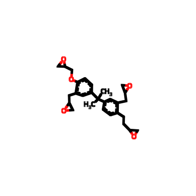 CC(C)(c1ccc(CCC2CO2)c(CC2CO2)c1)c1ccc(OCC2CO2)c(CC2CO2)c1